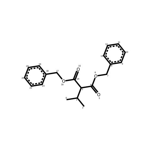 CC(C)C(C(=O)OCc1ccccc1)C(=O)OCc1ccccc1